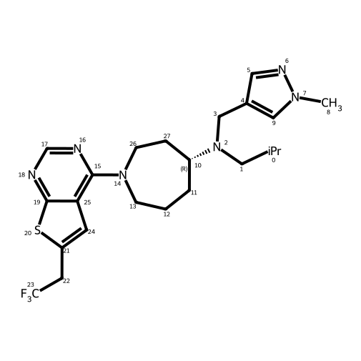 CC(C)CN(Cc1cnn(C)c1)[C@@H]1CCCN(c2ncnc3sc(CC(F)(F)F)cc23)CC1